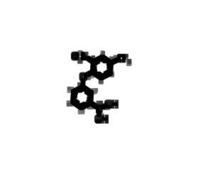 O=[N+]([O-])c1cc(C(F)(F)F)ccc1Oc1cccc(B(O)O)c1